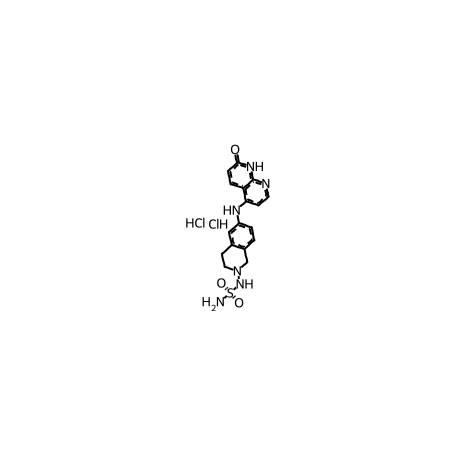 Cl.Cl.NS(=O)(=O)NN1CCc2cc(Nc3ccnc4[nH]c(=O)ccc34)ccc2C1